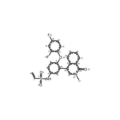 C=CS(=O)(=O)Nc1ccc(Oc2ccc(F)cc2F)c(-c2cn(C)c(=O)c3ccccc23)c1